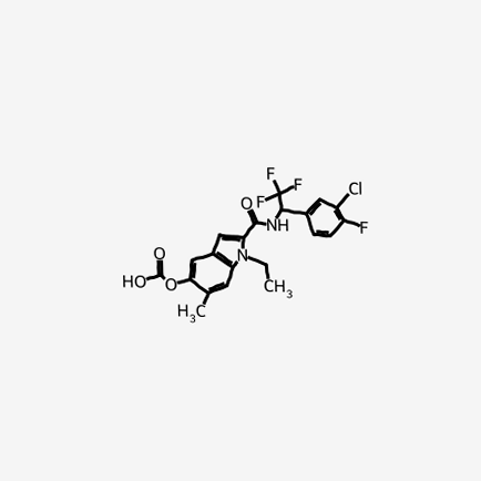 CCn1c(C(=O)NC(c2ccc(F)c(Cl)c2)C(F)(F)F)cc2cc(OC(=O)O)c(C)cc21